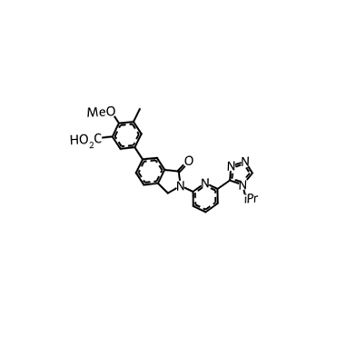 COc1c(C)cc(-c2ccc3c(c2)C(=O)N(c2cccc(-c4nncn4C(C)C)n2)C3)cc1C(=O)O